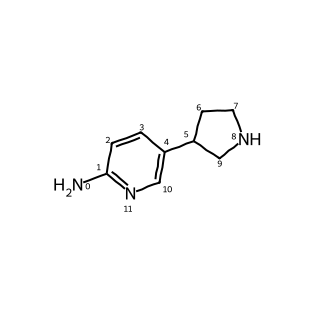 Nc1ccc(C2CCNC2)cn1